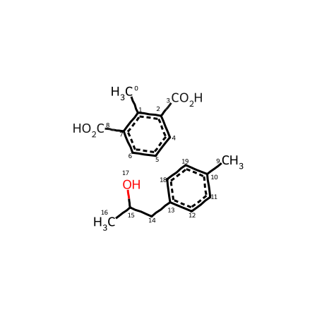 Cc1c(C(=O)O)cccc1C(=O)O.Cc1ccc(CC(C)O)cc1